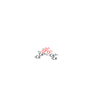 [Ce+3].[Ce+3].[Ce].[Ce].[O-2].[O-2].[O-2]